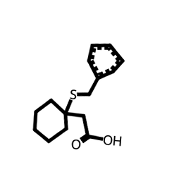 O=C(O)CC1(SCc2ccccc2)CCCCC1